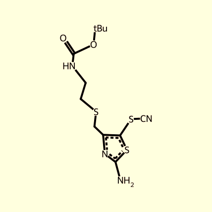 CC(C)(C)OC(=O)NCCSCc1nc(N)sc1SC#N